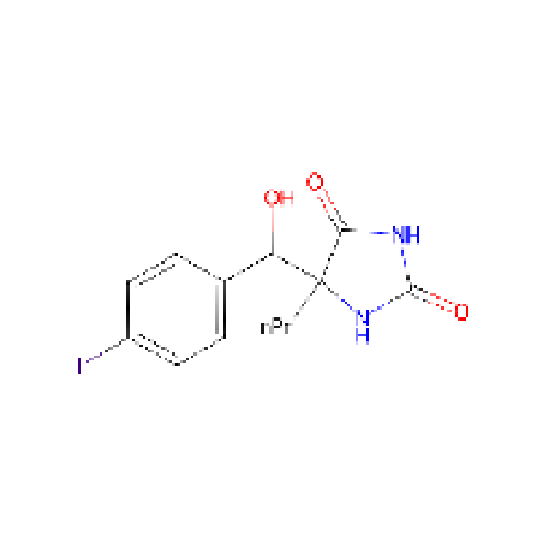 [CH2]CCC1(C(O)c2ccc(I)cc2)NC(=O)NC1=O